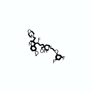 COc1ccc2ncc(CN3CCOCC3)c([C@H](F)CCC3(CO)CCN(CCOc4cc(F)cc(F)c4)CC3)c2c1